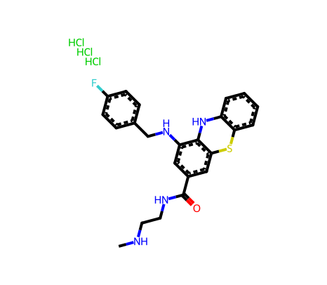 CNCCNC(=O)c1cc(NCc2ccc(F)cc2)c2c(c1)Sc1ccccc1N2.Cl.Cl.Cl